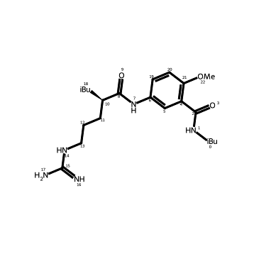 CCC(C)NC(=O)c1cc(NC(=O)[C@@H](CCCNC(=N)N)C(C)CC)ccc1OC